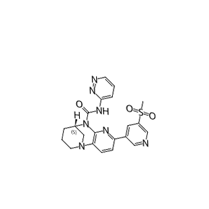 CS(=O)(=O)c1cncc(-c2ccc3c(n2)N(C(=O)Nc2cccnn2)[C@H]2CCCN3C2)c1